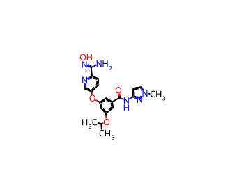 CC(C)Oc1cc(Oc2ccc(/C(N)=N/O)nc2)cc(C(=O)Nc2ccn(C)n2)c1